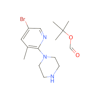 CC(C)(C)OC=O.Cc1cc(Br)cnc1N1CCNCC1